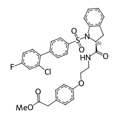 COC(=O)Cc1ccc(OCCNC(=O)[C@@H]2Cc3ccccc3N2S(=O)(=O)c2ccc(-c3ccc(F)cc3Cl)cc2)cc1